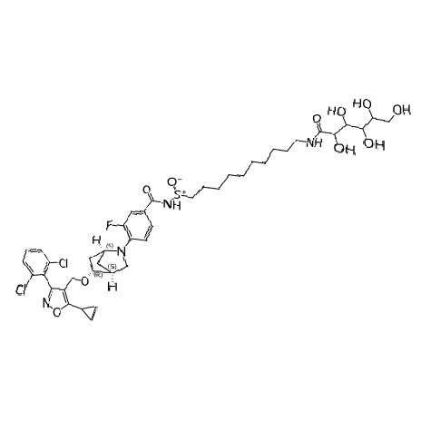 O=C(N[S+]([O-])CCCCCCCCCCNC(=O)C(O)C(O)C(O)C(O)CO)c1ccc(N2C[C@@H]3C[C@H]2C[C@H]3OCc2c(-c3c(Cl)cccc3Cl)noc2C2CC2)c(F)c1